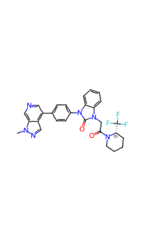 Cn1ncc2c(-c3ccc(-n4c(=O)n(CC(=O)N5CCCC[C@H]5C(F)(F)F)c5ccccc54)cc3)cncc21